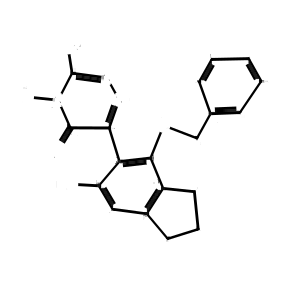 CSc1nnc(-c2c(C)cc3c(c2OCc2ccccc2)CCC3)c(=O)n1C